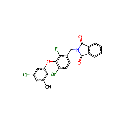 N#Cc1cc(Cl)cc(Oc2c(Br)ccc(CN3C(=O)c4ccccc4C3=O)c2F)c1